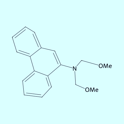 COCN(COC)c1cc2ccccc2c2ccccc12